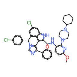 COc1ccc(NC(=O)c2[nH]c3cc(Cl)cc4c3c2-c2c(-c3ccccc3)ncn2[C@@H]4c2ccc(Cl)cc2)c(N2CCN(C3CCCCC3)CC2)n1